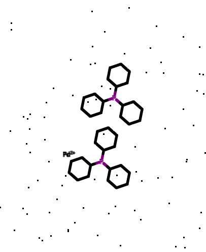 C1CCC(P(C2CCCCC2)C2CCCCC2)CC1.C1CCC(P(C2CCCCC2)C2CCCCC2)CC1.[Pd+2]